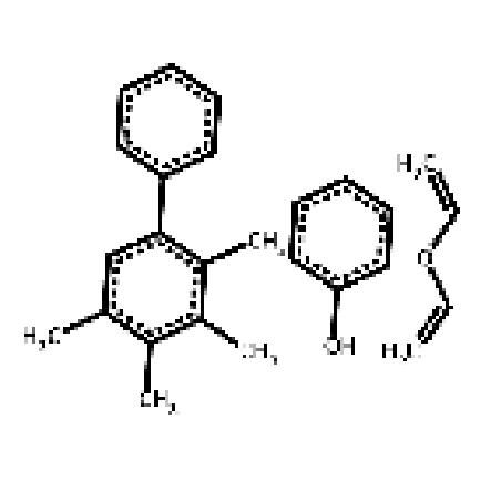 C=COC=C.Cc1cc(-c2ccccc2)c(C)c(C)c1C.Oc1ccccc1